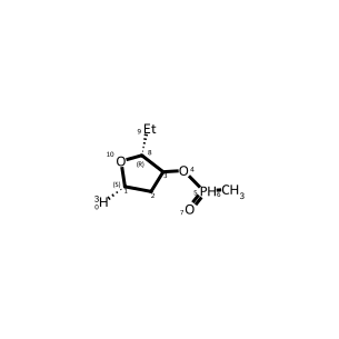 [3H][C@H]1CC(O[PH](C)=O)[C@@H](CC)O1